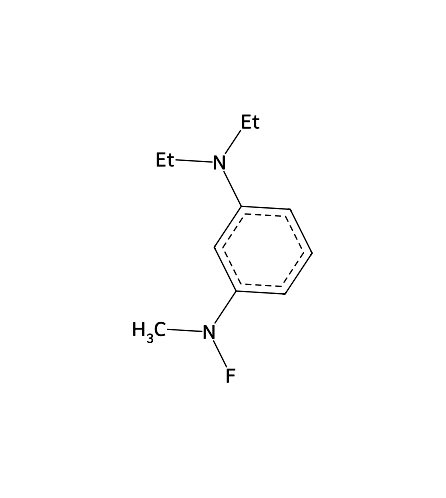 CCN(CC)c1cccc(N(C)F)c1